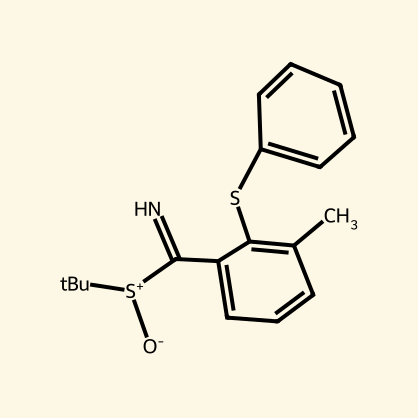 Cc1cccc(C(=N)[S+]([O-])C(C)(C)C)c1Sc1ccccc1